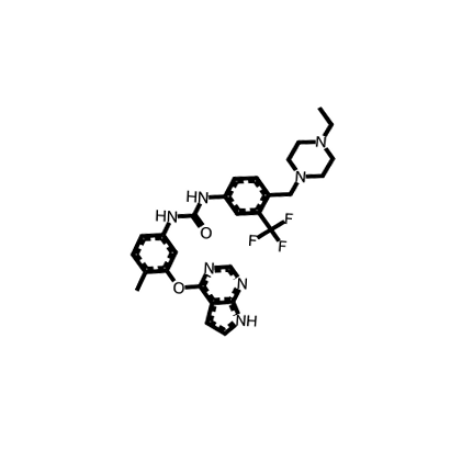 CCN1CCN(Cc2ccc(NC(=O)Nc3ccc(C)c(Oc4ncnc5[nH]ccc45)c3)cc2C(F)(F)F)CC1